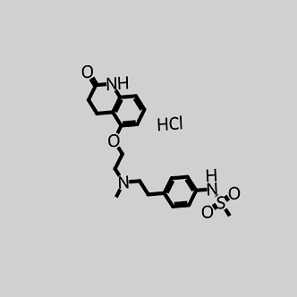 CN(CCOc1cccc2c1CCC(=O)N2)CCc1ccc(NS(C)(=O)=O)cc1.Cl